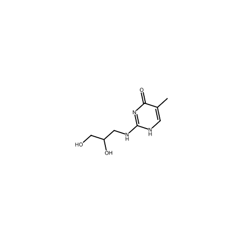 Cc1c[nH]c(NCC(O)CO)nc1=O